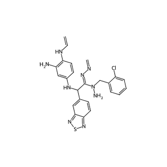 C=CNc1ccc(NC(/C(=N/N=C)N(N)Cc2ccccc2Cl)c2ccc3nsnc3c2)cc1N